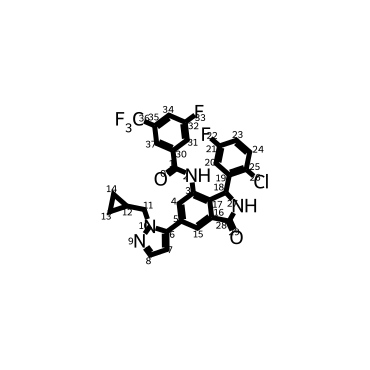 O=C(Nc1cc(-c2ccnn2CC2CC2)cc2c1C(c1cc(F)ccc1Cl)NC2=O)c1cc(F)cc(C(F)(F)F)c1